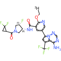 [2H]COc1ncc(-c2cc(C(F)(F)F)c3c(N)ncnn23)cc1C(=O)N[C@@H]1CN(C(=O)C2CC2(F)F)C[C@@H]1F